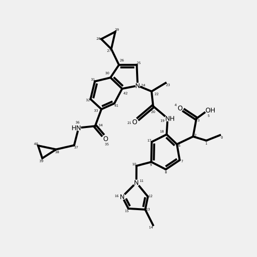 CCC(C(=O)O)c1ccc(Cn2cc(C)cn2)cc1NC(=O)C(C)n1cc(C2CC2)c2ccc(C(=O)NCC3CC3)cc21